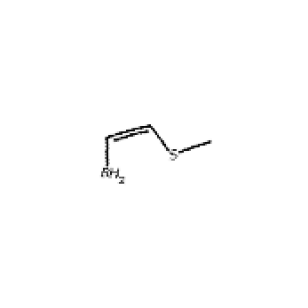 B/C=C\SC